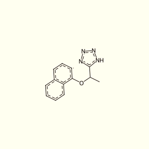 CC(Oc1[c]ccc2ccccc12)c1nnn[nH]1